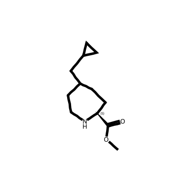 COC(=O)[C@@H]1CCC(CC2CC2)CCN1